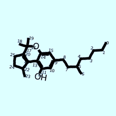 CCCCCC(C)CCc1cc(O)c2c(c1)OC(C)(C)C1=C2C(C)CC1